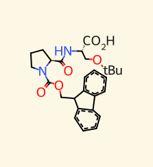 CC(C)(C)OC[C@H](NC(=O)[C@@H]1CCCN1C(=O)OCC1c2ccccc2-c2ccccc21)C(=O)O